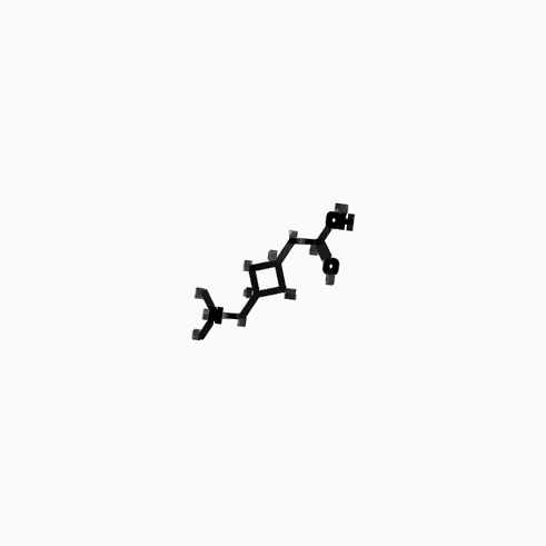 CN(C)CC1CC(CC(=O)O)C1